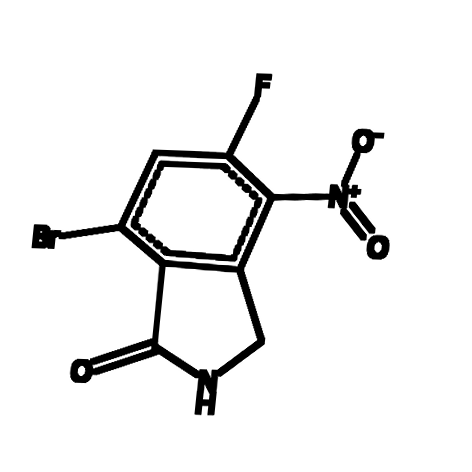 O=C1NCc2c1c(Br)cc(F)c2[N+](=O)[O-]